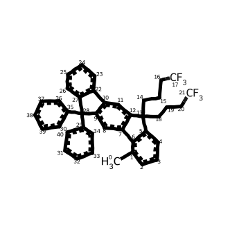 Cc1cccc2c1-c1cc3c(cc1C2(CCCC(F)(F)F)CCCC(F)(F)F)-c1ccccc1C3(c1ccccc1)c1ccccc1